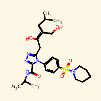 CC(C)CC(CO)=C(O)Cc1nnc(C(=O)NC(C)C)n1-c1ccc(S(=O)(=O)N2CCCCC2)cc1